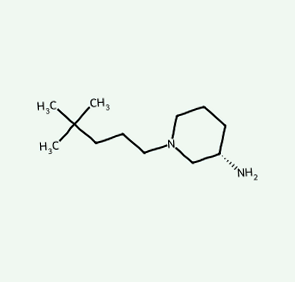 CC(C)(C)CCCN1CCC[C@H](N)C1